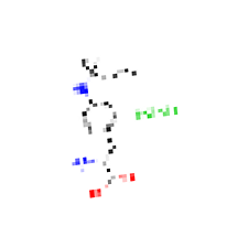 CCCC1(Nc2ccc(CC(N)C(=O)O)cc2)CC1.Cl.Cl